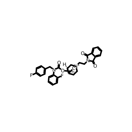 O=C1c2ccccc2C(=O)N1CC[N+]12CCC(CC1)[C@@H](OC(=O)N(Cc1ccc(F)cc1)c1ccccc1F)C2